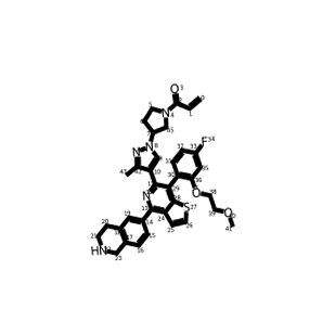 C=CC(=O)N1CCC(n2cc(-c3nc(-c4ccc5c(c4)CCNC5)c4ccsc4c3-c3ccc(F)cc3OCCOC)c(C)n2)C1